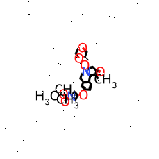 Cc1c2n(c(OC[C@@H]3COCCO3)cc1=O)CCc1cc(OC3CN(C(=O)OC(C)(C)C)C3)ccc1-2